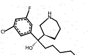 COCCCC[C@@](O)(c1cc(F)cc(Cl)c1)[C@@H]1CCCNC1